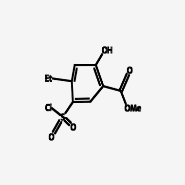 CCc1cc(O)c(C(=O)OC)cc1S(=O)(=O)Cl